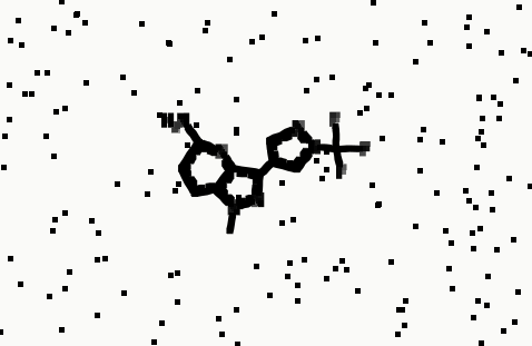 Cn1nc(-c2cnn(C(F)(F)F)c2)c2nc(N)ccc21